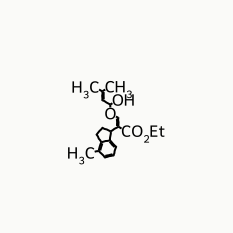 CCOC(=O)/C(=C/OC(O)C=C(C)C)C1CCc2c(C)cccc21